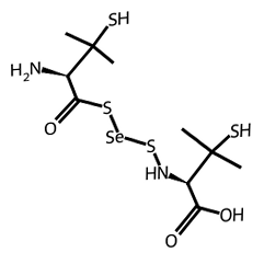 CC(C)(S)[C@H](N)C(=O)S[Se]SN[C@H](C(=O)O)C(C)(C)S